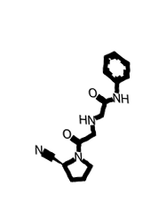 N#C[C@@H]1CCCN1C(=O)CNCC(=O)Nc1ccccc1